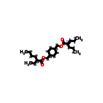 CC/C=C(\CCC)C(=O)OCC1CCC(COC(=O)C(CC)CCCC)CC1